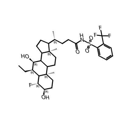 CC[C@@H]1C2[C@@H](F)[C@H](O)CC[C@]2(C)C2CC[C@@]3(C)C(CCC3[C@H](C)CCC(=O)NS(=O)(=O)c3ccccc3C(F)(F)F)C2[C@@H]1O